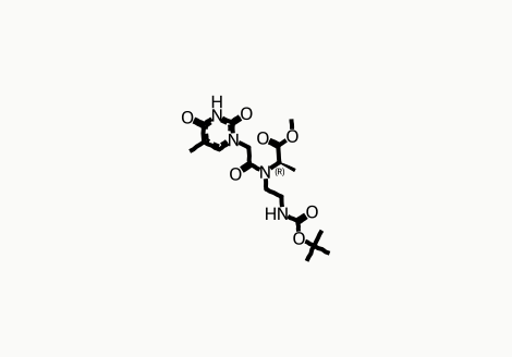 COC(=O)[C@@H](C)N(CCNC(=O)OC(C)(C)C)C(=O)Cn1cc(C)c(=O)[nH]c1=O